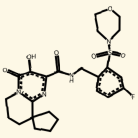 O=C(NCc1ccc(F)cc1S(=O)(=O)N1CCOCC1)c1nc2n(c(=O)c1O)CCCC21CCCC1